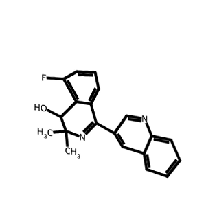 CC1(C)N=C(c2cnc3ccccc3c2)c2cccc(F)c2C1O